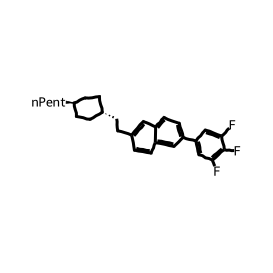 CCCCC[C@H]1CC[C@H](CCc2ccc3cc(-c4cc(F)c(F)c(F)c4)ccc3c2)CC1